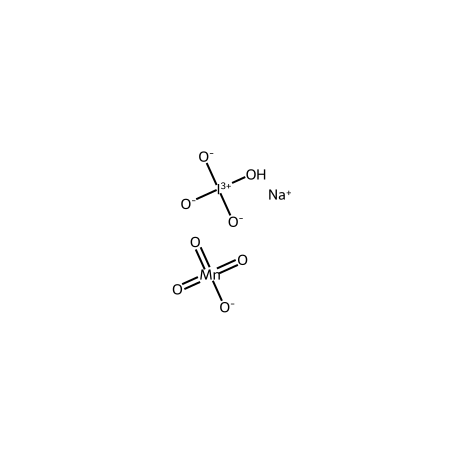 [Na+].[O-][I+3]([O-])([O-])O.[O]=[Mn](=[O])(=[O])[O-]